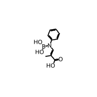 CC(=CN(B(O)O)c1ccccc1)C(=O)O